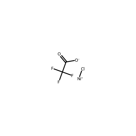 O=C([O-])C(F)(F)F.[Cl][Ni+]